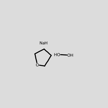 C1CCOC1.OO.[NaH]